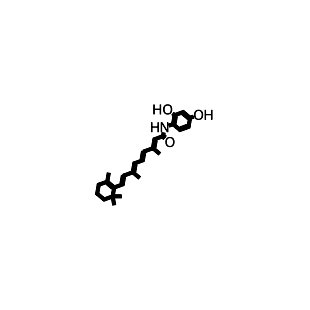 CC1=C(/C=C/C(C)=C/C=C/C(C)=C/C(=O)Nc2ccc(O)cc2O)C(C)(C)CCC1